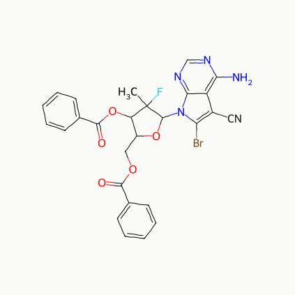 CC1(F)C(OC(=O)c2ccccc2)C(COC(=O)c2ccccc2)OC1n1c(Br)c(C#N)c2c(N)ncnc21